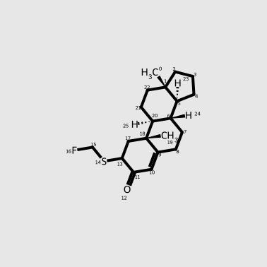 C[C@@]12CCC[C@H]1[C@@H]1CCC3=CC(=O)C(SCF)C[C@]3(C)[C@H]1CC2